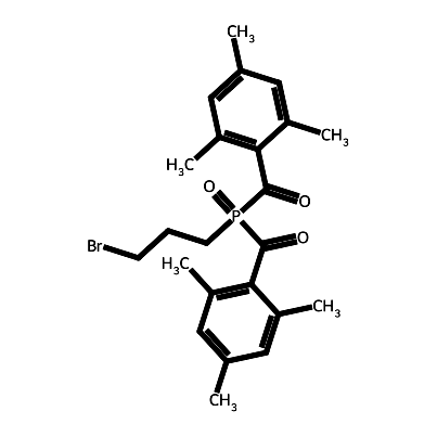 Cc1cc(C)c(C(=O)P(=O)(CCCBr)C(=O)c2c(C)cc(C)cc2C)c(C)c1